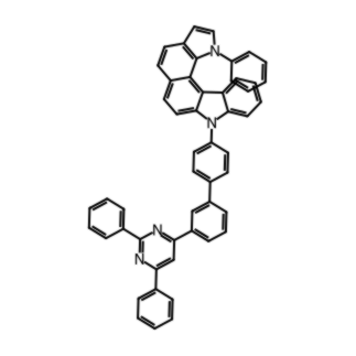 c1ccc(-c2cc(-c3cccc(-c4ccc(-n5c6ccccc6c6c7c(ccc8ccn(-c9ccccc9)c87)ccc65)cc4)c3)nc(-c3ccccc3)n2)cc1